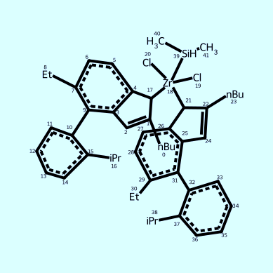 CCCCC1=Cc2c(ccc(CC)c2-c2ccccc2C(C)C)[CH]1[Zr]([Cl])([Cl])([CH]1C(CCCC)=Cc2c1ccc(CC)c2-c1ccccc1C(C)C)[SiH](C)C